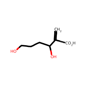 C=C(C(=O)O)C(O)CCCO